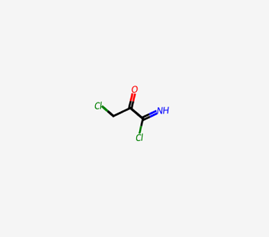 N=C(Cl)C(=O)CCl